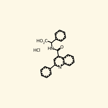 Cl.O=C(NC(C(=O)O)c1ccccc1)c1cc(-c2ccccc2)nc2ccccc12